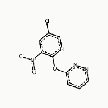 O=[N+]([O-])c1cc(Cl)cnc1Oc1cccnn1